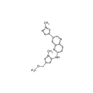 COCc1cc(Nc2ccc3ncc(-c4cnn(C)c4)cc3n2)n(C)c1